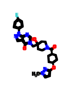 Cn1ccc(O[C@H]2CC[C@H](C(=O)N3CCC(O)(Cn4cnc5c(cnn5-c5ccc(F)cc5)c4=O)CC3)CC2)n1